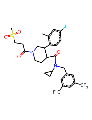 Cc1cc(F)ccc1C1CN(C(=O)CCS(C)(=O)=O)CCC1C(=O)N(Cc1cc(C(F)(F)F)cc(C(F)(F)F)c1)C1CC1